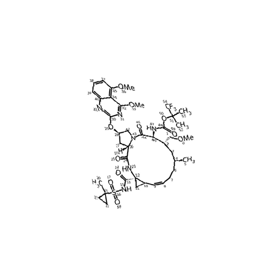 COC[C@@H]1C[C@@H](C)CC/C=C\C2C[C@@]2(C(=O)NS(=O)(=O)C2(C)CC2)NC(=O)[C@@H]2C[C@@H](Oc3nc(OC)c4c(OC)cccc4n3)CN2C(=O)[C@H]1NC(=O)OC(C)(C)C(F)(F)F